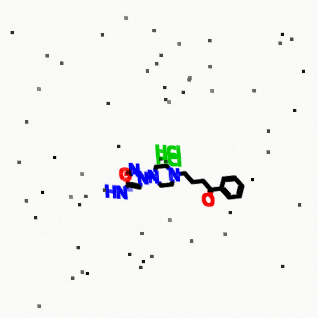 Cl.Cl.[NH-]c1c[n+](N2CCN(CCCC(=O)c3ccccc3)CC2)no1